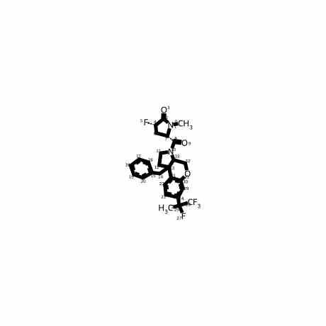 CN1C(=O)[C@@H](F)C[C@H]1C(=O)N1CCC2(Cc3ccccc3)c3ccc(C(C)(F)C(F)(F)F)cc3OCC12